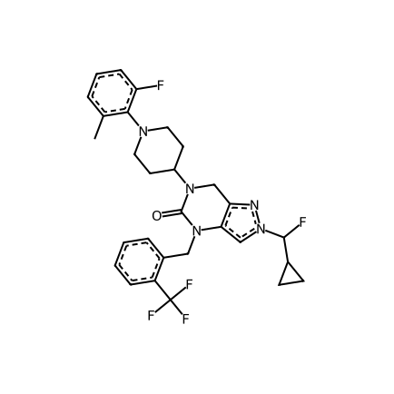 Cc1cccc(F)c1N1CCC(N2Cc3nn(C(F)C4CC4)cc3N(Cc3ccccc3C(F)(F)F)C2=O)CC1